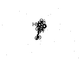 COC(=O)CCCOC(=O)OC1=C(C)NC(C)=C([N+](=O)[O-])C1c1ccccc1OC(F)F